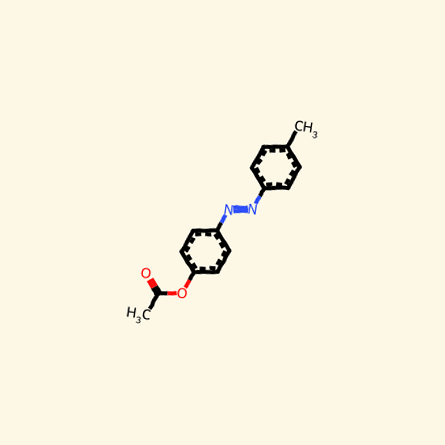 CC(=O)Oc1ccc(N=Nc2ccc(C)cc2)cc1